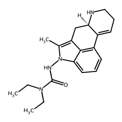 CCN(CC)C(=O)Nn1c(C)c2c3c(cccc31)C1=CCCN[C@@H]1C2